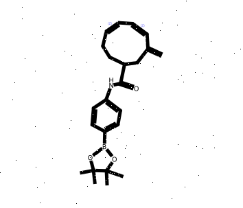 C=C1/C=C\C=C/CCC(C(=O)Nc2ccc(B3OC(C)(C)C(C)(C)O3)cc2)C1